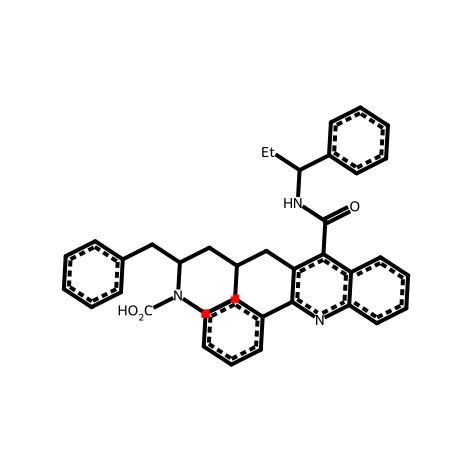 CCC(NC(=O)c1c(CC2CCN(C(=O)O)C(Cc3ccccc3)C2)c(-c2ccccc2)nc2ccccc12)c1ccccc1